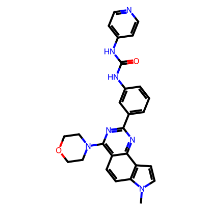 Cn1ccc2c3nc(-c4cccc(NC(=O)Nc5ccncc5)c4)nc(N4CCOCC4)c3ccc21